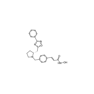 O=C(/C=C/c1ccc(CN2CCC[C@@H]2Cc2nc(-c3ccccc3)no2)cc1)NO